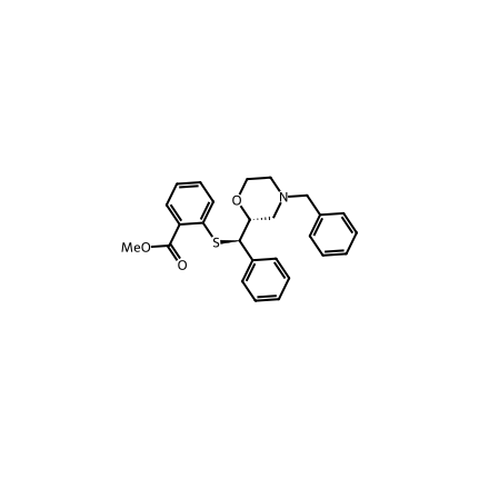 COC(=O)c1ccccc1S[C@H](c1ccccc1)[C@H]1CN(Cc2ccccc2)CCO1